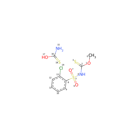 COC(=S)NS(=O)(=O)c1ccccc1Cl.NC(O)=S